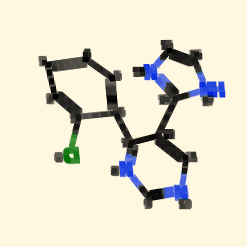 Clc1ccccc1-c1n[c]ncc1-c1ncc[nH]1